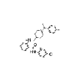 Cc1ccc(C(C)N2CCC(CNc3ccccc3C(=O)Nc3ccc(Cl)cn3)CC2)cc1